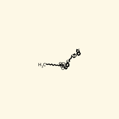 CCCCCCCCCCCC(=O)OC(C)n1c(=O)ccc2ccc(OCCCCN3CCN(c4cccc5sccc45)CC3)cc21